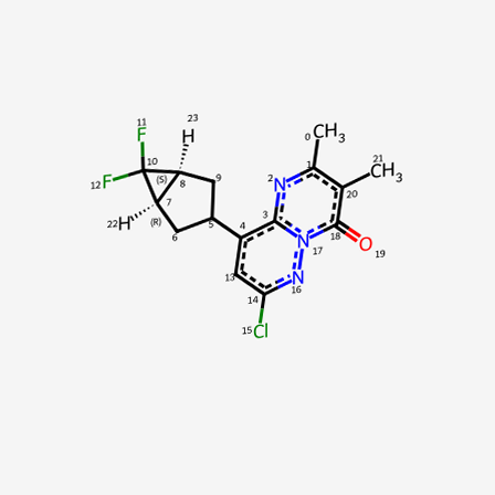 Cc1nc2c(C3C[C@@H]4[C@H](C3)C4(F)F)cc(Cl)nn2c(=O)c1C